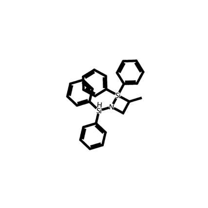 CC1CN([SiH](c2ccccc2)c2ccccc2)[Si]1(c1ccccc1)c1ccccc1